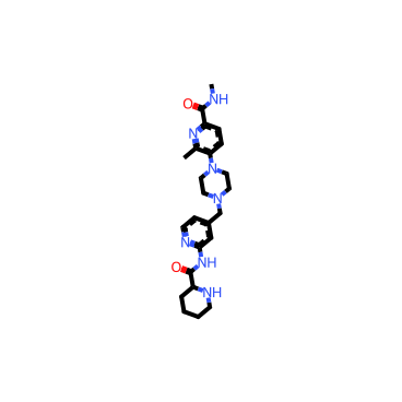 CNC(=O)c1ccc(N2CCN(Cc3ccnc(NC(=O)C4CCCCN4)c3)CC2)c(C)n1